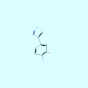 Nc1ccc(-c2cn[nH]c2)cc1O